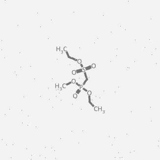 CCOP(=O)(CS(=O)(=O)OCC)OC